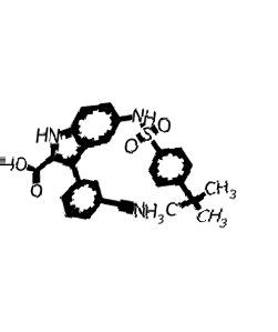 CC(C)(C)c1ccc(S(=O)(=O)Nc2ccc3[nH]c(C(=O)O)c(-c4cccc(C#N)c4)c3c2)cc1